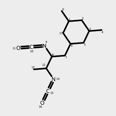 CC1CC(C)CC(CC(N=C=O)C(C)N=C=O)C1